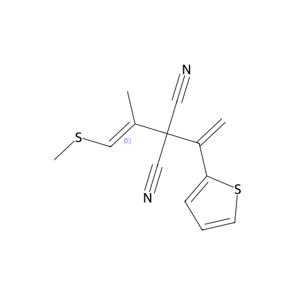 C=C(c1cccs1)C(C#N)(C#N)/C(C)=C/SC